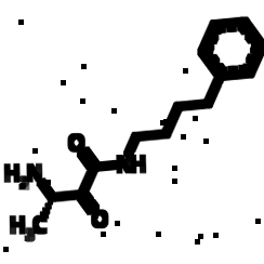 C[C@H](N)C(=O)C(=O)NCCCCc1ccccc1